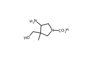 CC1(CO)CN(C(=O)O)CC1N